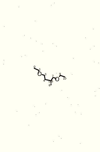 CCOCC[C@H](C)COCC